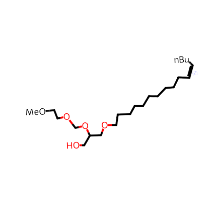 CCCC/C=C\CCCCCCCCCCOCC(CO)OCOCCOC